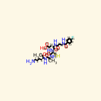 CC(=O)[C@H](CCCCN)NC(=O)C(C)NC(=O)[C@H](CS)NC(=O)[C@H](CCC(=O)O)NC(=O)CCNC(=O)c1ccc(F)cc1